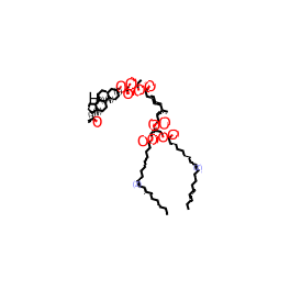 CCCCCCCC/C=C\CCCCCCCC(=O)OCC(COC(=O)CCCCCCC/C=C\CCCCCCCC)OC(=O)CC(C)CCCCC(=O)OC(C)OC(=O)O[C@H]1CC[C@@]2(C)C(CC[C@@H]3C2CC[C@@]2(C)C3CC[C@@H]2C(C)=O)C1